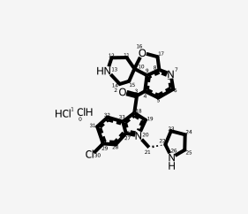 Cl.Cl.O=C(c1ccnc2c1C1(CCNCC1)OC2)c1cn(C[C@@H]2CCCN2)c2cc(Cl)ccc12